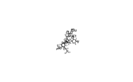 CCOC1C=C(F)C=C[C@]1(Cc1nc(-c2ccc(OC(F)F)c(OCC3CC3)c2)oc1C(C)NC(=O)OC(C)(C)C)C(=O)O